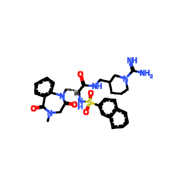 CN1CC(=O)N(C[C@@H](NS(=O)(=O)c2ccc3ccccc3c2)C(=O)NCC2CCCN(C(=N)N)C2)c2ccccc2C1=O